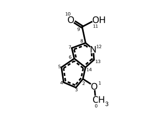 COc1cccc2cc(C(=O)O)ncc12